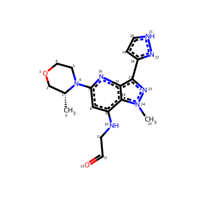 C[C@@H]1COCCN1c1cc(NCC=O)c2c(n1)c(-c1cc[nH]n1)nn2C